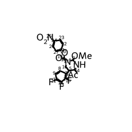 COC1NC(C)C(C(C)=O)(c2ccc(F)c(F)c2F)CN1C(=O)Oc1ccc([N+](=O)[O-])cc1